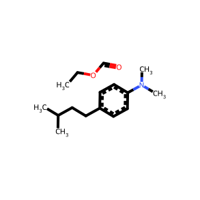 CC(C)CCc1ccc(N(C)C)cc1.CCOC=O